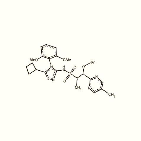 COc1cccc(OC)c1-n1c(NS(=O)(=O)C(C)C(OC(C)C)c2ncc(C)cn2)nnc1C1CCC1